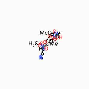 C=CCOC(=O)N1C[C@@H]2CC(c3ccc(-n4cccn4)cc3)=CN2C(=O)c2cc(OC)c(OCCCCCOc3cc4c(cc3OC)C(=O)N3CC5(CC5)C[C@H]3C(O)N4C(=O)OCC=C)cc21